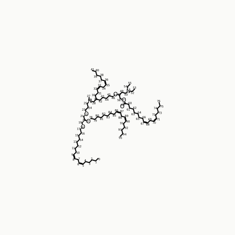 CCCCC/C=C\C/C=C\CCCCCCCCOC[C@@H](COCCCN(C)CC(CC/C=C\C/C=C\CCCCC)CCCCCOC(CCN(CC)CC)COC(=O)CCCCCCC/C=C\C/C=C\CCCCC)OCCCCCCCC/C=C\C/C=C\CCCCC